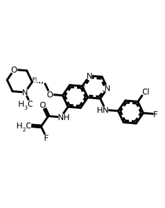 C=C(F)C(=O)Nc1cc2c(Nc3ccc(F)c(Cl)c3)ncnc2cc1OC[C@H]1COCCN1C